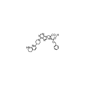 O=C(N[C@@H](Cn1cnc2c(N3CCC(c4ccc5c(n4)NCCC5)CC3)ncnc21)C(=O)O)OCc1ccccc1